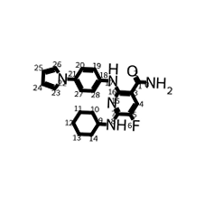 NC(=O)c1cc(F)c(NC2CCCCC2)nc1Nc1ccc(-n2cccc2)cc1